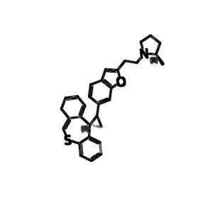 C[C@@H]1CCCN1CCc1cc2ccc(C3C[C@]34C3=CC=CCC3=CSc3ccccc34)cc2o1